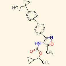 Cc1onc(-c2ccc(-c3ccc(C4(C(=O)O)CC4)cc3)cc2)c1NC(=O)OC(C)C1CC1